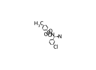 Cc1ccc(S(=O)(=O)O/N=C(/C#N)c2cccc(Cl)c2)cc1